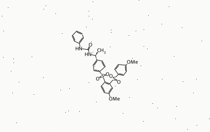 COc1ccc(S(=O)(=O)c2cc(OC)ccc2S(=O)(=O)c2ccc([C@H](C)NC(=O)Nc3ccccc3)cc2)cc1